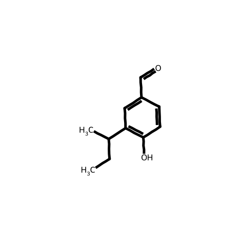 CCC(C)c1cc(C=O)ccc1O